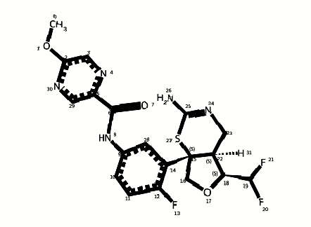 COc1cnc(C(=O)Nc2ccc(F)c([C@]34CO[C@H](C(F)F)[C@@H]3CN=C(N)S4)c2)cn1